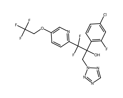 OC(Cn1ncnn1)(c1ccc(Cl)cc1F)C(F)(F)c1ccc(OCC(F)(F)F)cn1